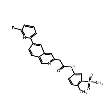 Cc1ccc(NC(=O)Cc2cc3cc(-c4cccc(F)n4)ccc3cn2)cc1S(C)(=O)=O